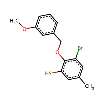 COc1cccc(COc2c(S)cc(C)cc2Br)c1